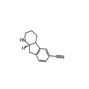 N#Cc1ccc2c(c1)C1CCCN[C@H]1C2